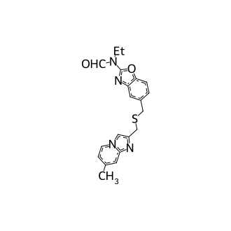 CCN(C=O)c1nc2cc(CSCc3cn4ccc(C)cc4n3)ccc2o1